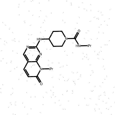 CC(C)NC(=O)N1CCC(Nc2ncc3ccc(=O)n(C(C)C)c3n2)CC1